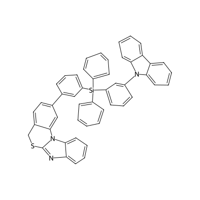 c1ccc([Si](c2ccccc2)(c2cccc(-c3ccc4c(c3)-n3c(nc5ccccc53)SC4)c2)c2cccc(-n3c4ccccc4c4ccccc43)c2)cc1